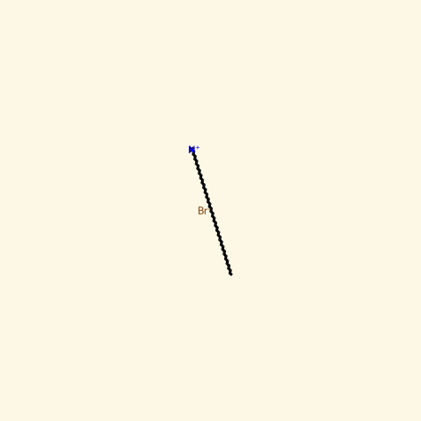 CCCCCCCCCCCCCCCCCCCCCCCCCCCCCCCCCCCCCCCCCCCCCCCCCCCCC[N+](C)(C)C.[Br-]